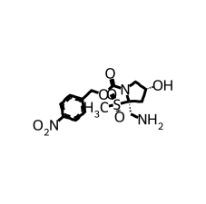 CS(=O)(=O)[C@]1(CN)C[C@@H](O)CN1C(=O)OCc1ccc([N+](=O)[O-])cc1